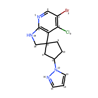 Clc1c(Br)cnc2c1C1(CCC(n3cccn3)C1)CN2